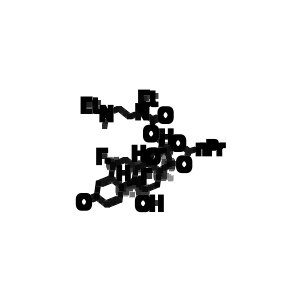 CCCC1O[C@@H]2C[C@H]3[C@@H]4C[C@H](F)C5=CC(=O)C=C[C@]5(C)[C@@]4(F)[C@@H](O)C[C@]3(C)[C@]2(C(=O)COC(=O)N(CC)CCN(C)CC)O1